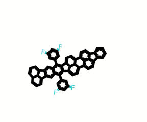 Fc1cc(F)cc(-c2c3c(c(-c4cc(F)cc(F)c4)c4cc5c(cc24)C2=CC=CC4C=CC=C5C24)C2=CC=C4c5ccc6c7c(ccc(c57)C5=CC=C3C2C54)-c2ccccc2-6)c1